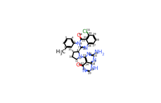 Cc1cccc(-n2c([C@@H]3CCCN3c3nc(N)nc4[nH]cnc(=O)c34)nc3cccc(Cl)c3c2=O)c1